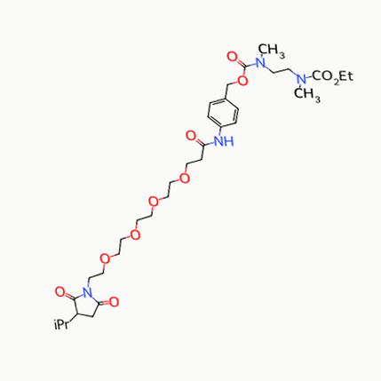 CCOC(=O)N(C)CCN(C)C(=O)OCc1ccc(NC(=O)CCOCCOCCOCCOCCN2C(=O)CC(C(C)C)C2=O)cc1